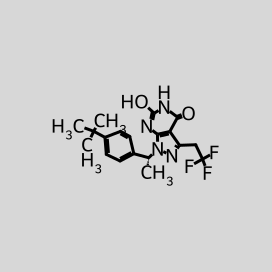 C[C@H](c1ccc(C(C)(C)C)cc1)n1nc(CC(F)(F)F)c2c(=O)[nH]c(O)nc21